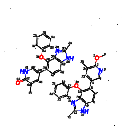 COc1ncc(-c2ccc3[nH]c(C)nc3c2Oc2ccccc2)cc1C.Cc1nc2c(Oc3ccccc3)c(-c3c[nH]c(=O)c(C)c3)ccc2[nH]1